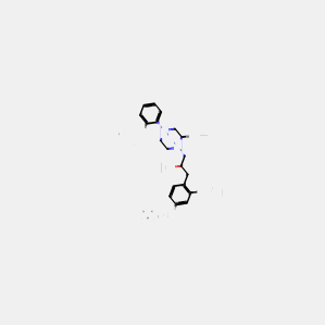 CCOC(=O)c1ccccc1N1CCN(CC(O)Cc2ccc(OC)cc2C(C)(C)C)C(C)C1